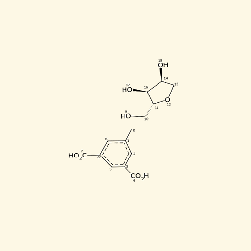 Cc1cc(C(=O)O)cc(C(=O)O)c1.OC[C@H]1O[CH][C@H](O)[C@@H]1O